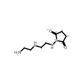 NCCNCCNN1C(=O)CCC1=O